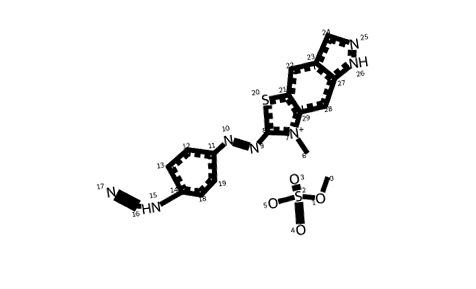 COS(=O)(=O)[O-].C[n+]1c(/N=N/c2ccc(NC#N)cc2)sc2cc3cn[nH]c3cc21